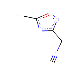 [C-]#[N+]Cc1noc(C)n1